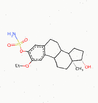 CCOc1cc2c(cc1OS(N)(=O)=O)CCC1C2CC[C@@]2(C)C1CC[C@@H]2O